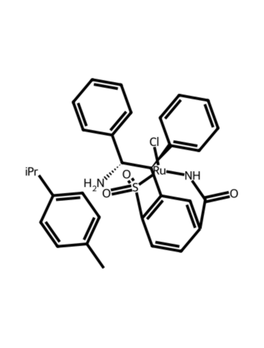 Cc1ccc(C(C)C)cc1.N[C@H](c1ccccc1)[C@@H](c1ccccc1)c1cc2ccc1[S](=O)(=O)[Ru]([Cl])[NH]C2=O